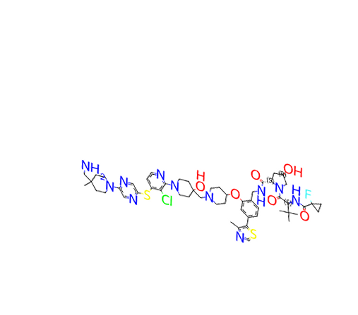 Cc1ncsc1-c1ccc(CNC(=O)[C@@H]2C[C@@H](O)CN2C(=O)[C@@H](NC(=O)C2(F)CC2)C(C)(C)C)c(OC2CCN(CC3(O)CCN(c4nccc(Sc5cnc(N6CCC(C)(CN)CC6)cn5)c4Cl)CC3)CC2)c1